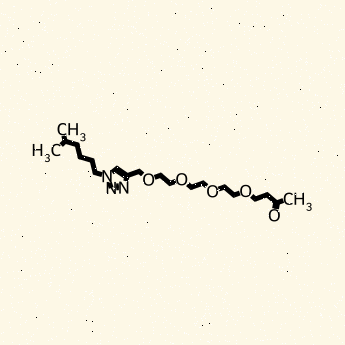 CC(=O)CCOCCOCCOCCOCc1cn(CCCCC(C)C)nn1